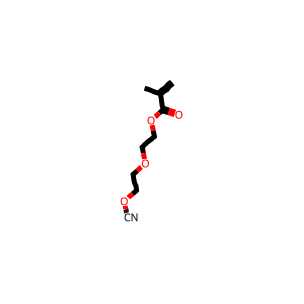 C=C(C)C(=O)OCCOCCOC#N